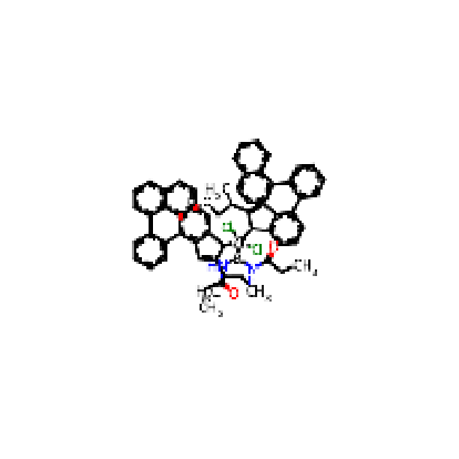 CCC(=O)N[B](NC(=O)CC)[Zr]([Cl])([Cl])([CH]1C(C(C)CC)=Cc2c(-c3ccccc3-c3cccc4ccccc34)cccc21)[CH]1C(C(C)CC)=Cc2c(-c3ccccc3-c3cccc4ccccc34)cccc21